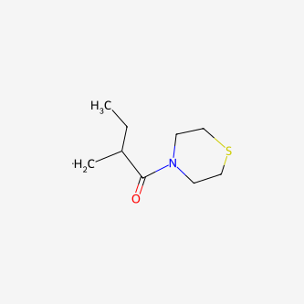 [CH2]C(CC)C(=O)N1CCSCC1